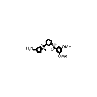 COc1cc(OC)cc(C(=O)NC2CCCC(c3nc4cc(CN)ccc4n3C)C2)c1